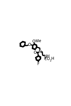 COc1cc(CN(CCNC(=O)O)C(=O)c2ccc(F)cc2)ccc1OCc1ccccc1